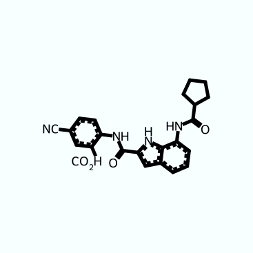 N#Cc1ccc(NC(=O)c2cc3cccc(NC(=O)C4CCCC4)c3[nH]2)c(C(=O)O)c1